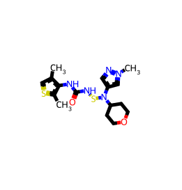 Cc1csc(C)c1NC(=O)NSN(c1cnn(C)c1)C1CCOCC1